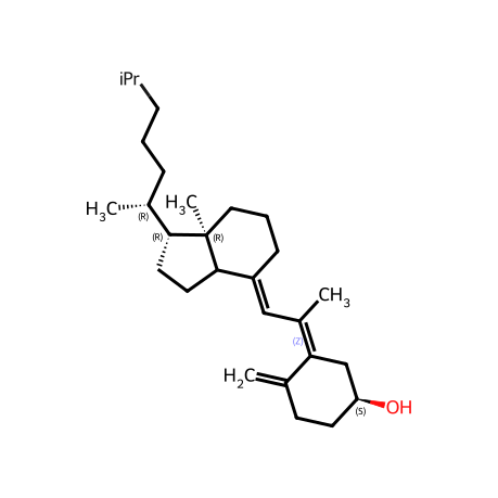 C=C1CC[C@H](O)C/C1=C(\C)C=C1CCC[C@@]2(C)C1CC[C@@H]2[C@H](C)CCCC(C)C